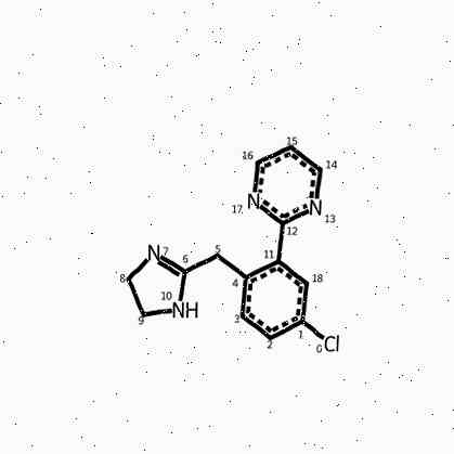 Clc1ccc(CC2=NCCN2)c(-c2ncccn2)c1